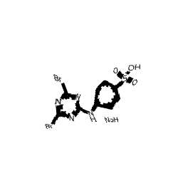 O=S(=O)(O)c1ccc(Nc2nc(Br)nc(Br)n2)cc1.[NaH]